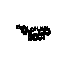 NC1N=CC=CC1NCc1cc(NC(=O)c2ncc(Cl)cn2)ccc1F